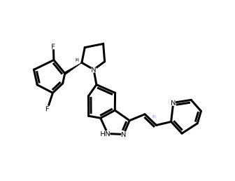 Fc1ccc(F)c([C@H]2CCCN2c2ccc3[nH]nc(/C=C/c4ccccn4)c3c2)c1